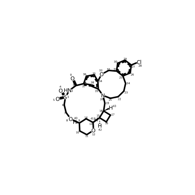 O=C1NS(=O)(=O)CCO[C@H]2CCO[C@@H](C2)[C@@H]2CC[C@H]2CN2CCCCc3cc(Cl)ccc3COc3ccc1cc32